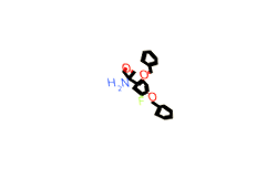 NC1(c2cc(F)c(OCc3ccccc3)cc2OCc2ccccc2)COC1